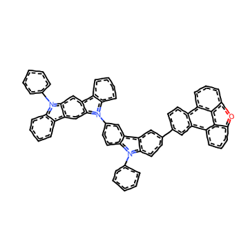 c1ccc(-n2c3ccc(-c4ccc5c(c4)c4cccc6oc7cccc5c7c64)cc3c3cc(-n4c5ccccc5c5cc6c(cc54)c4ccccc4n6-c4ccccc4)ccc32)cc1